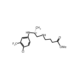 COC(=O)CCCNC[C@@H](C)Nc1ccc(Cl)c(C(F)(F)F)c1